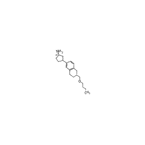 CCCCOCC1CCc2cc(C3CC[C@@H](N)C3)ccc2C1